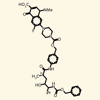 CNC1C=C(C(=O)O)C(=O)c2cc(F)c(N3CCN(C(=O)OCc4ccc(NC(=O)[C@H](C)CC(O)C(NC(=O)OCc5ccccc5)C(C)C)cc4)CC3)cc21